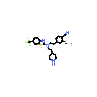 Cc1cc(CCN(CCC2CCNCC2)c2nc3ccc(C(F)(F)F)cc3s2)ccc1C#N